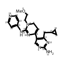 COCCN1CC=C(c2cnc(N)nc2CC2CC2)N=C1Nc1ccncc1